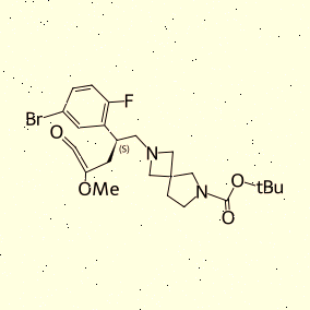 COC(=C=O)C[C@H](CN1CC2(CCN(C(=O)OC(C)(C)C)C2)C1)c1cc(Br)ccc1F